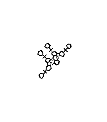 CC(C)(C1=CC2C3=C[C@@H](C(C)(C)C4C=CCCC4)CC4=C3N(c3cccc5c3B4c3cc(C(C)(C)C4C=CCCC4)cc4c3N5C3CCC(C(C)(C)C5CC=CCC5)C=C43)C2C=C1)C1=CC=CCC1